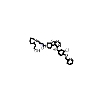 O=C(/C=C/CN1CCCCC1CCO)N1CCc2c(sc3ncnc(Nc4ccc(OCc5ccccn5)c(Cl)c4)c23)C1